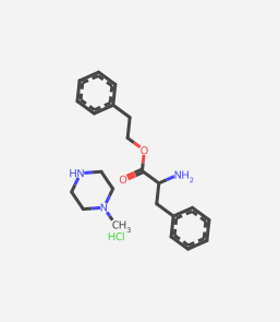 CN1CCNCC1.Cl.NC(Cc1ccccc1)C(=O)OCCc1ccccc1